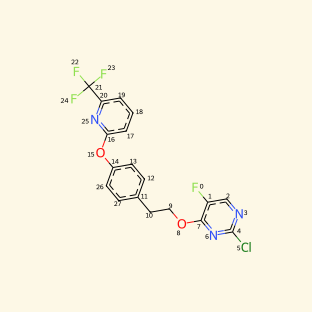 Fc1cnc(Cl)nc1OCCc1ccc(Oc2cccc(C(F)(F)F)n2)cc1